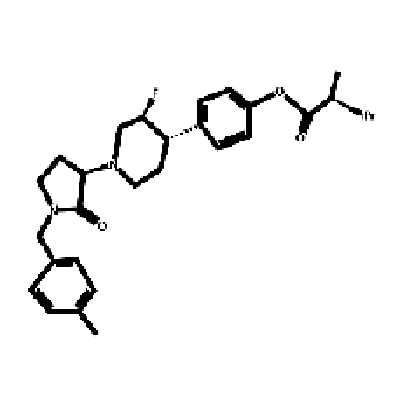 Cc1ccc(CN2CC[C@@H](N3CC[C@@H](c4ccc(OC(=O)[C@@H](C)C(C)C)cc4)[C@H](F)C3)C2=O)cc1